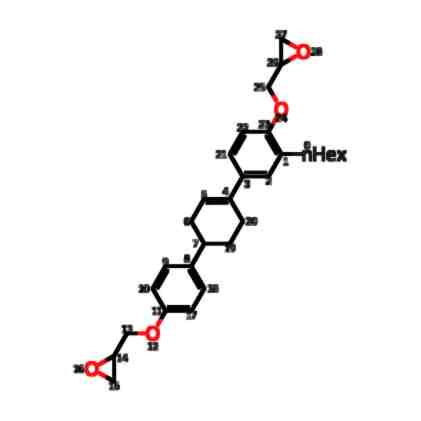 CCCCCCc1cc(C2=CCC(c3ccc(OCC4CO4)cc3)CC2)ccc1OCC1CO1